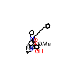 COc1cc(O)c2c3c1O[C@H]1[C@H](N(CC4CCCCC4)C(=O)CCCCCCCc4ccccc4)CC[C@H]4[C@@H](C2)N(CC2CC2)CC[C@@]341